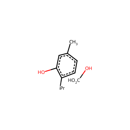 Cc1ccc(C(C)C)c(O)c1.O=C(O)O